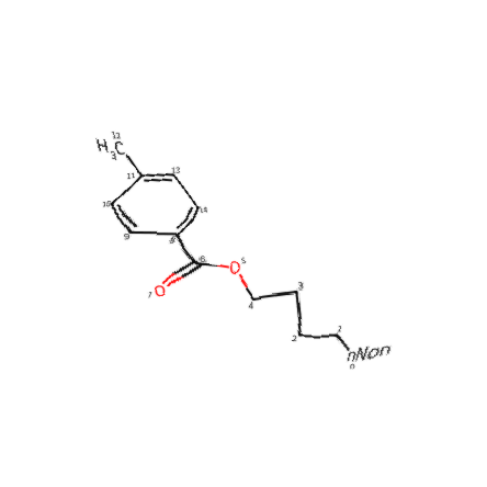 CCCCCCCCCCCCCOC(=O)c1ccc(C)cc1